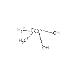 CCCCCCC1C(CCCC)CCC2CC(CCCCCCCCO)C(CCCCCCCCO)CC21